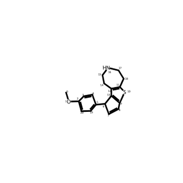 COc1ccc(C2C=Cc3sc4c(c32)CCNCC4)cc1